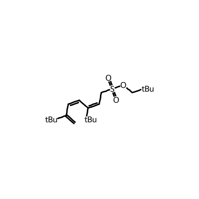 C=C(/C=C\C(=C/CS(=O)(=O)OCC(C)(C)C)C(C)(C)C)C(C)(C)C